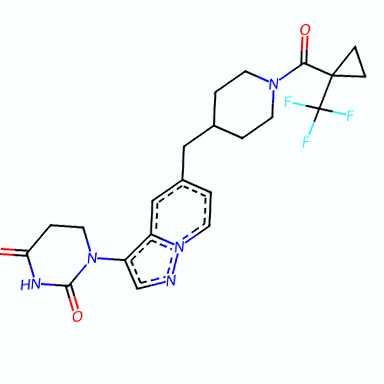 O=C1CCN(c2cnn3ccc(CC4CCN(C(=O)C5(C(F)(F)F)CC5)CC4)cc23)C(=O)N1